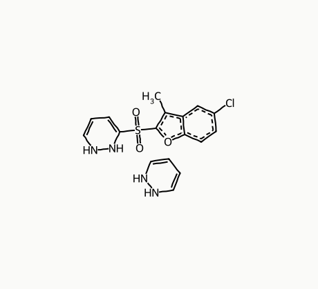 C1=CNNC=C1.Cc1c(S(=O)(=O)C2=CC=CNN2)oc2ccc(Cl)cc12